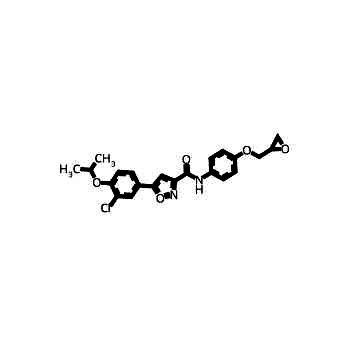 CC(C)Oc1ccc(-c2cc(C(=O)Nc3ccc(OCC4CO4)cc3)no2)cc1Cl